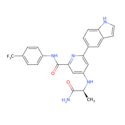 C[C@H](Nc1cc(C(=O)Nc2ccc(C(F)(F)F)cc2)nc(-c2ccc3[nH]ccc3c2)c1)C(N)=O